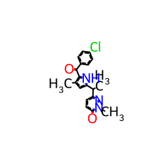 Cc1cc(C(C)c2ccc(=O)n(C)n2)[nH]c1C(=O)c1ccc(Cl)cc1